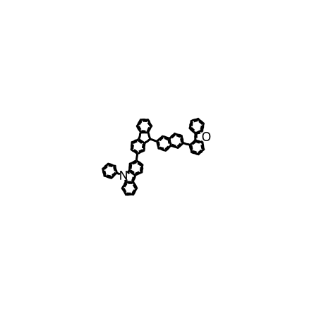 c1ccc(-n2c3ccccc3c3ccc(-c4ccc5c(c4)C(c4ccc6cc(-c7cccc8oc9ccccc9c78)ccc6c4)c4ccccc4-5)cc32)cc1